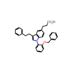 CCOC(=O)CCc1ccc2c(c1)c(CCc1ccccc1)cn2-c1ccccc1OCc1ccccc1